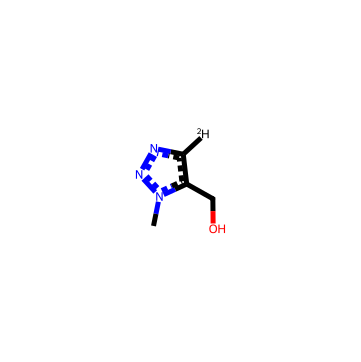 [2H]c1nnn(C)c1CO